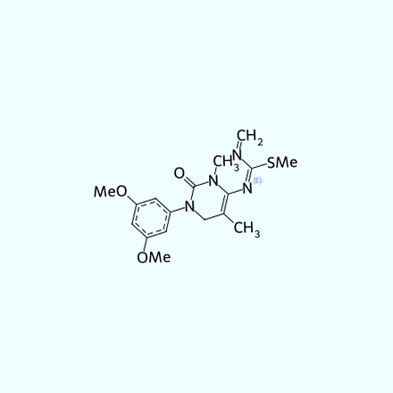 C=N/C(=N\C1=C(C)CN(c2cc(OC)cc(OC)c2)C(=O)N1C)SC